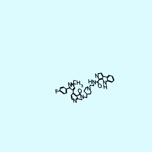 Cn1cc(-c2ccnc3c2C(=O)N(CC2CCN(CCNC(=O)c4nccc5c4[nH]c4ccccc45)CC2)C3)c(-c2ccc(F)cc2)n1